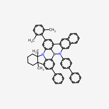 Cc1cccc(C)c1-c1cc2c3c(c1)N1c4c(cc(-c5ccccc5)cc4C4(C)CCCCC14C)B3N(c1ccc(-c3ccccc3)cc1)c1cc3ccccc3cc1-2